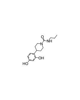 CCCNC(=O)N1CCC(c2ccc(O)cc2O)CC1